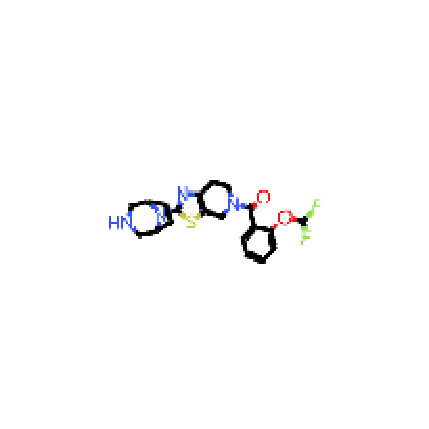 O=C(c1ccccc1OC(F)F)N1CCc2nc(N3C4CCC3CNC4)sc2C1